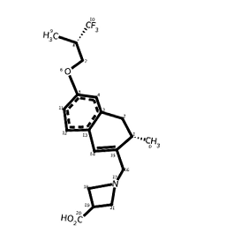 C[C@H]1Cc2cc(OC[C@H](C)C(F)(F)F)ccc2C=C1CN1CC(C(=O)O)C1